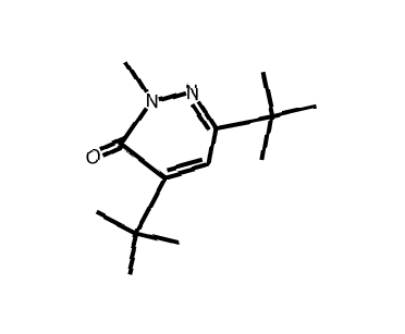 Cn1nc(C(C)(C)C)cc(C(C)(C)C)c1=O